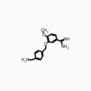 COc1ccc(C(=N)N)cc1OCc1ccc(CN)cc1